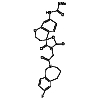 CNC(=O)Nc1ccc2c(c1)OCCC21OC(=O)N(CC(=O)N2CCCc3cc(F)ccc3C2)C1=O